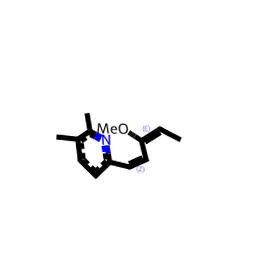 C/C=C(\C=C/c1ccc(C)c(C)n1)OC